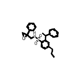 CCCc1ccc(S(=O)(=O)NCC2(c3ccccc3)CO2)c(C(C)c2ccccc2)c1